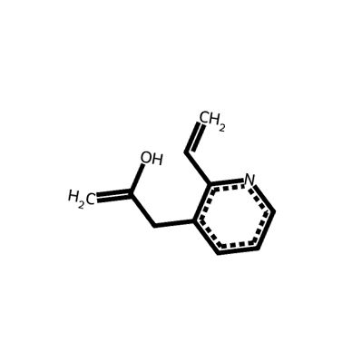 C=Cc1ncccc1CC(=C)O